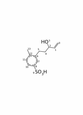 C=CC(O)CCc1cc(S(=O)(=O)O)ccc1C